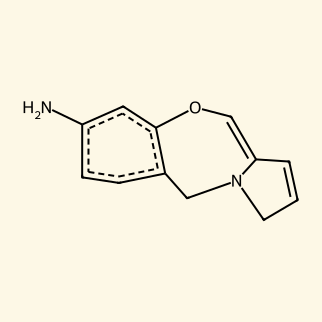 Nc1ccc2c(c1)OC=C1C=CCN1C2